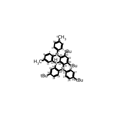 Cc1ccc(N2c3ccc(C)cc3[SH]3c4cc(C(C)(C)C)ccc4N(c4ccc(C(C)(C)C)cc4)c4c(C(C)(C)C)cc(C(C)(C)C)c2c43)cc1